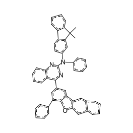 CC1(C)c2ccccc2-c2ccc(N(c3ccccc3)c3nc(-c4cc(-c5ccccc5)c5oc6cc7ccccc7cc6c5c4)c4ccccc4n3)cc21